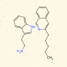 CCCCCc1cc2ccccc2cn1.NCCc1c[nH]c2ccccc12